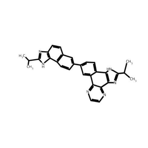 CC(C)c1nc2ccc3cc(-c4ccc5c(c4)c4nccnc4c4nc(C(C)C)[nH]c54)ccc3c2[nH]1